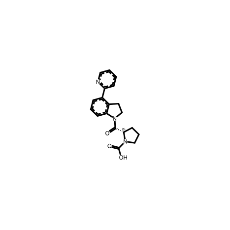 O=C([C@@H]1CCCN1C(=O)O)N1CCc2c(-c3ccccn3)cccc21